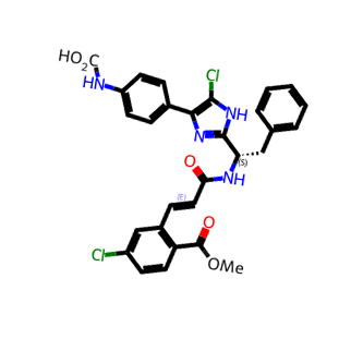 COC(=O)c1ccc(Cl)cc1/C=C/C(=O)N[C@@H](Cc1ccccc1)c1nc(-c2ccc(NC(=O)O)cc2)c(Cl)[nH]1